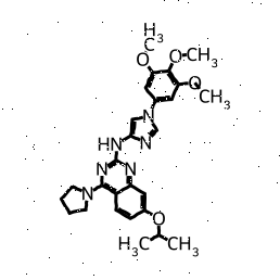 COc1cc(-n2cnc(Nc3nc(N4CCCC4)c4ccc(OC(C)C)cc4n3)c2)cc(OC)c1OC